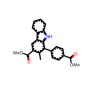 COC(=O)c1ccc(-c2c(C)c(C(=O)OC)cc3c2[nH]c2ccccc23)cc1